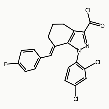 O=C(Cl)c1nn(-c2ccc(Cl)cc2Cl)c2c1CCCC2=Cc1ccc(F)cc1